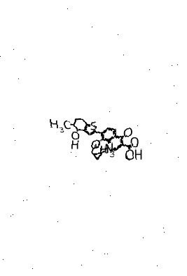 COc1c(-c2cc3c(s2)CCC(C)C3O)ccc2c(=O)c(C(=O)O)cn(C3CC3)c12